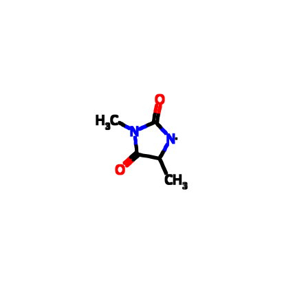 CC1[N]C(=O)N(C)C1=O